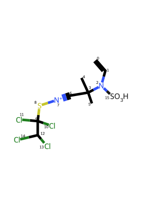 C=CN(C(C)(C)C#[N+]SC(Cl)(Cl)C(Cl)Cl)S(=O)(=O)O